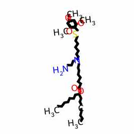 CCCCCCCCC(CCCCCCCC)OC(=O)CCCCCCCN(CCCN)CCCCCCCSCc1c(OC)cc(OC)cc1OC